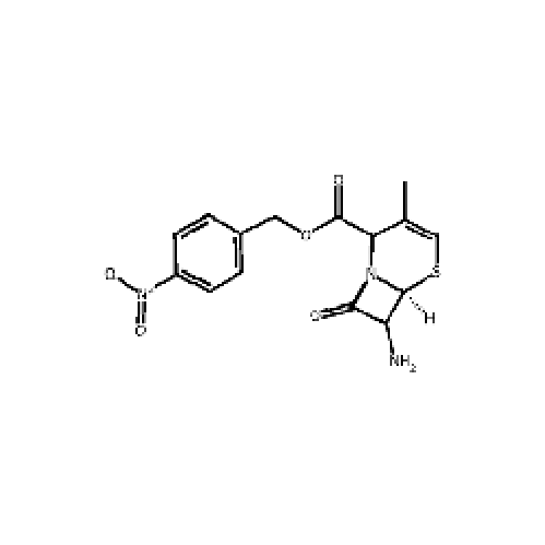 CC1=CS[C@H]2C(N)C(=O)N2C1C(=O)OCc1ccc([N+](=O)[O-])cc1